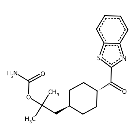 CC(C)(C[C@H]1CC[C@H](C(=O)c2nc3ccccc3s2)CC1)OC(N)=O